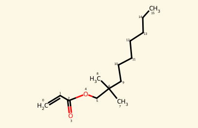 C=CC(=O)OCC(C)(C)CCCCCCC